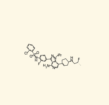 CC(C)n1nc(-c2ccc(NS(=O)(=O)c3ccccc3Cl)c(F)c2)c2c(N)ncc(C3=CC[C@H](NC[C@@H](C)F)CC3)c21